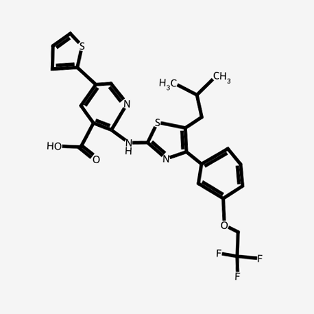 CC(C)Cc1sc(Nc2ncc(-c3cccs3)cc2C(=O)O)nc1-c1cccc(OCC(F)(F)F)c1